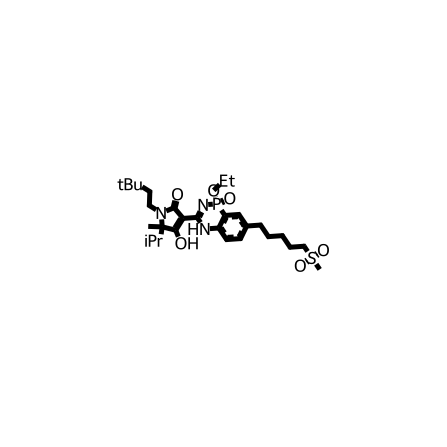 CCOP1(=O)N=C(C2=C(O)C(C)(C(C)C)N(CCC(C)(C)C)C2=O)Nc2ccc(CCCCCS(C)(=O)=O)cc21